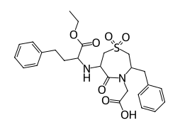 CCOC(=O)C(CCc1ccccc1)NC1CS(=O)(=O)CC(Cc2ccccc2)N(CC(=O)O)C1=O